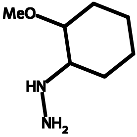 COC1CCCCC1NN